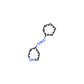 [c]1ccc(N=Nc2ccncc2)cc1